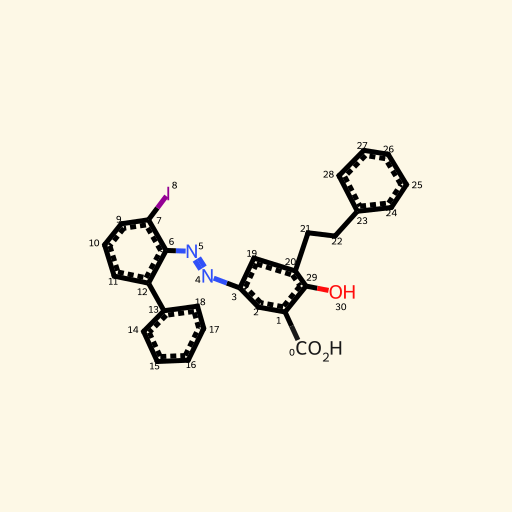 O=C(O)c1cc(N=Nc2c(I)cccc2-c2ccccc2)cc(CCc2ccccc2)c1O